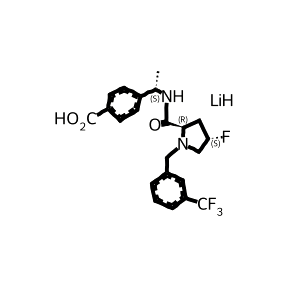 C[C@H](NC(=O)[C@H]1C[C@H](F)CN1Cc1cccc(C(F)(F)F)c1)c1ccc(C(=O)O)cc1.[LiH]